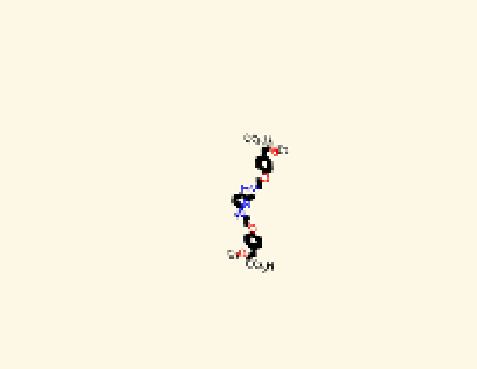 CCOC(Cc1ccc(OCCNCc2cccc(N(C)CCOc3ccc(CC(OCC)C(=O)O)cc3)n2)cc1)C(=O)O